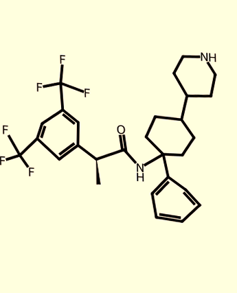 C[C@H](C(=O)NC1(c2ccccc2)CCC(C2CCNCC2)CC1)c1cc(C(F)(F)F)cc(C(F)(F)F)c1